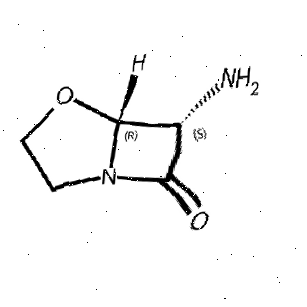 N[C@@H]1C(=O)N2CCO[C@H]12